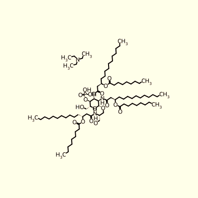 CCCCCCCCCCC[C@H](CC(=O)N[C@@H](CO)CO[C@@H]1O[C@H](CO)[C@@H](OP(=O)(O)O)[C@H](OC(=O)C[C@@H](CCCCCCCCCCC)OC(=O)CCCCCCCC)[C@H]1NC(=O)C[C@@H](CCCCCCCCCCC)OC(=O)CCCCCCCC)OC(=O)CCCCCCCC.CCN(CC)CC